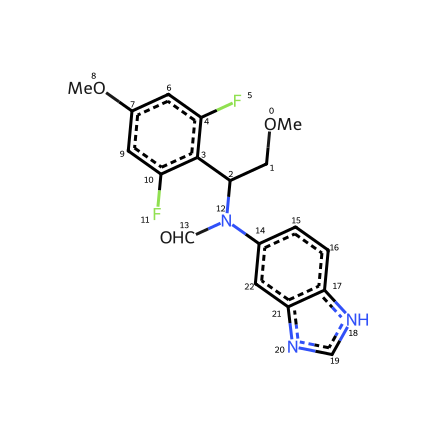 COCC(c1c(F)cc(OC)cc1F)N(C=O)c1ccc2[nH]cnc2c1